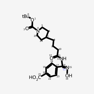 CC(C)(C)OC(=O)N1CCC(CCCC(=O)N/C(=N/O)c2ccc(C(=O)O)cc2)CC1